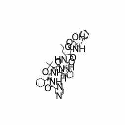 CCCC(NC(=O)[C@@H]1[C@H]2CCC[C@H]2CN1C(=O)[C@@H](NC(=O)[C@H](NC(=O)c1cnccn1)C1CCCCC1)C(C)(C)C)C(=O)C(=O)N[C@@H](Cc1ccccc1)C(=O)O